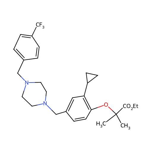 CCOC(=O)C(C)(C)Oc1ccc(CN2CCN(Cc3ccc(C(F)(F)F)cc3)CC2)cc1C1CC1